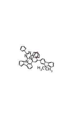 CC1(C)c2ccccc2-c2ccc(-c3cc(-c4cccc5c6ccccc6n(-c6nc(-c7ccccc7)nc(-c7ccccc7)n6)c45)cc4ccccc34)cc21